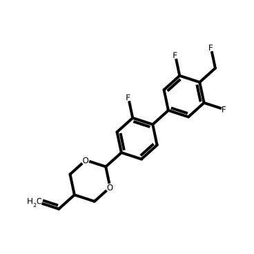 C=CC1COC(c2ccc(-c3cc(F)c(CF)c(F)c3)c(F)c2)OC1